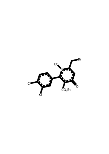 CCOC(=O)c1c(-c2ccc(Cl)c(Cl)c2)n(CC)c(CBr)cc1=O